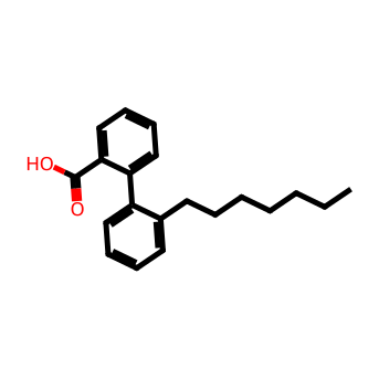 CCCCCCCc1ccccc1-c1ccccc1C(=O)O